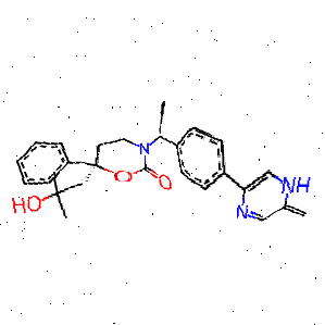 C=C1C=NC(c2ccc([C@H](C)N3CC[C@](CC(C)(C)O)(c4ccccc4)OC3=O)cc2)=CN1